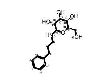 OC[C@H]1OC(NCCCc2ccccc2)[C@H](O)[C@@H](O)[C@@H]1O